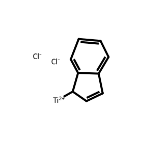 [Cl-].[Cl-].[Ti+2][CH]1C=Cc2ccccc21